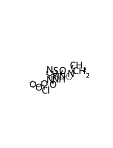 C=CC(=C)N1CCC[C@@H](NC(=O)c2sc3nccc4c3c2NC(=O)N4c2ccc(Oc3ccccc3)c(Cl)c2)C1